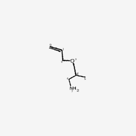 C=CCOC(C)CN